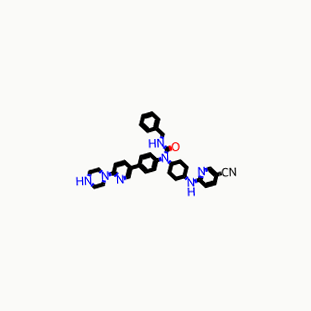 N#Cc1ccc(NC2CCC(N(C(=O)NCc3ccccc3)c3ccc(-c4ccc(N5CCNCC5)nc4)cc3)CC2)nc1